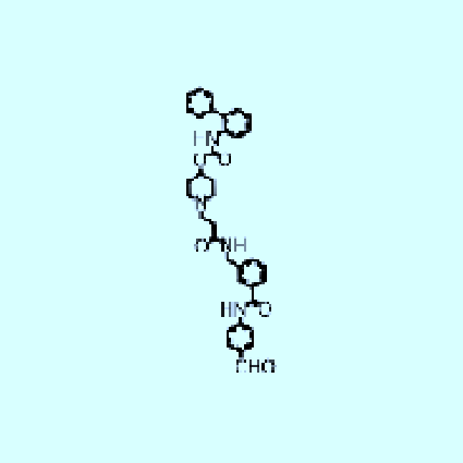 O=Cc1ccc(NC(=O)c2cccc(CNC(=O)CCN3CCC(OC(=O)Nc4ccccc4-c4ccccc4)CC3)c2)cc1